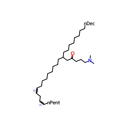 CCCCC/C=C\C/C=C\CCCCCCCCC(CCCCCCCCCCCCCCCCCC)CC(=O)CCCN(C)C